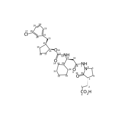 O=C(O)CC[C@H]1CCN(NC(=O)C[C@H](NC(=O)O[C@H]2CCC[C@H]2Cc2cccc(Cl)c2)C2CCCCC2)C1=O